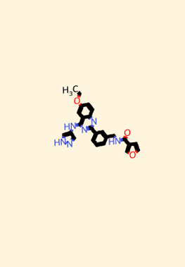 CCOc1ccc2nc(-c3cccc(CNC(=O)c4ccoc4)c3)nc(Nc3cn[nH]c3)c2c1